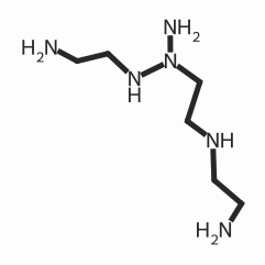 NCCNCCN(N)NCCN